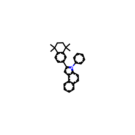 CC1(C)CCC(C)(C)c2cc(-c3cc4c5ccccc5ccc4n3-c3ccccc3)ccc21